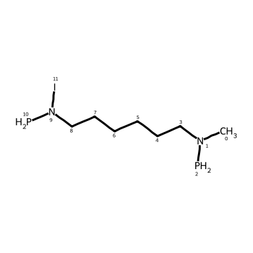 CN(P)CCCCCCN(P)I